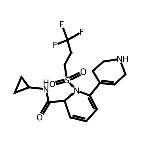 O=C(NC1CC1)C1C=CC=C(C2=CCNCC2)N1S(=O)(=O)CCC(F)(F)F